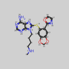 CNCCCCn1c(Sc2cc3c(cc2-c2ncco2)OCO3)nc2c(N)ncnc21